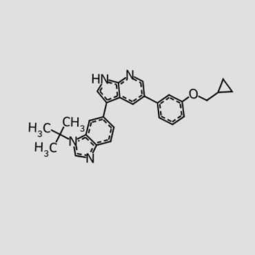 CC(C)(C)n1cnc2ccc(-c3c[nH]c4ncc(-c5cccc(OCC6CC6)c5)cc34)cc21